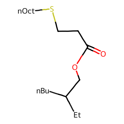 CCCCCCCCSCCC(=O)OCC(CC)CCCC